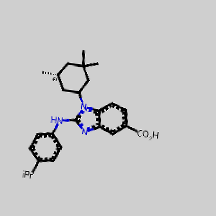 CC(C)c1ccc(Nc2nc3cc(C(=O)O)ccc3n2C2C[C@H](C)CC(C)(C)C2)cc1